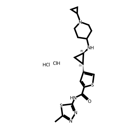 Cc1nnc(NC(=O)c2cc([C@@H]3C[C@H]3NC3CCN(C4CC4)CC3)cs2)s1.Cl.Cl